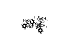 Cc1ncc(COP(=O)(N[C@@H](C)C(=O)OC(C)C)Oc2ccccc2)c(CO)c1OC(=O)c1ccccc1